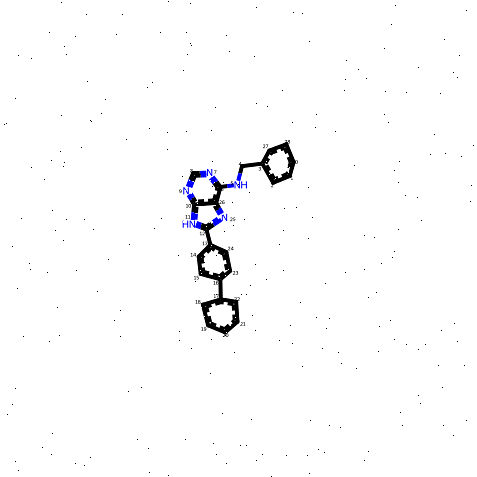 c1ccc(CNc2ncnc3[nH]c(-c4ccc(-c5ccccc5)cc4)nc23)cc1